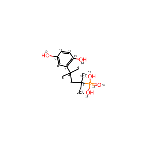 CCC(CC)(CC(C)(C)c1cc(O)ccc1O)P(=O)(O)O